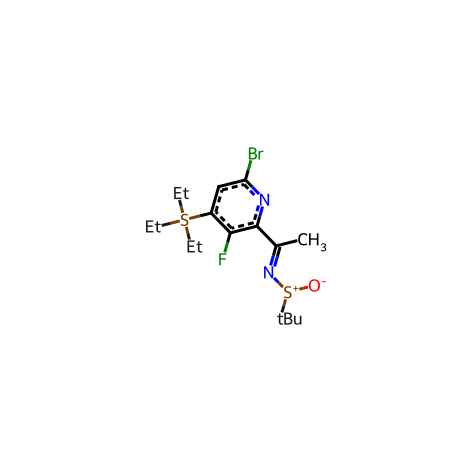 CCS(CC)(CC)c1cc(Br)nc(/C(C)=N/[S+]([O-])C(C)(C)C)c1F